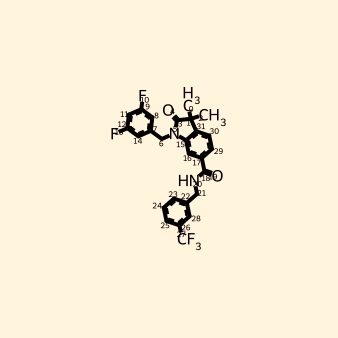 CC1(C)C(=O)N(Cc2cc(F)cc(F)c2)c2cc(C(=O)NCc3cccc(C(F)(F)F)c3)ccc21